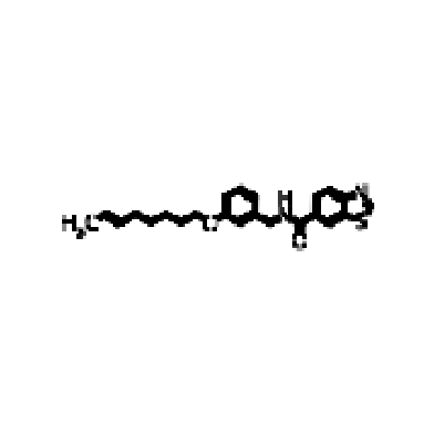 CC=CCCCCCOc1cccc(CNC(=O)c2ccc3ncsc3c2)c1